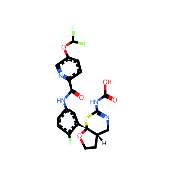 O=C(O)NC1=NC[C@@H]2CCO[C@]2(c2cc(NC(=O)c3ccc(OC(F)F)cn3)ccc2F)S1